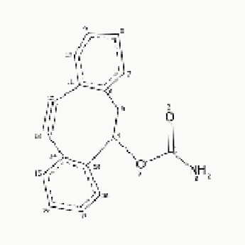 NC(=O)OC1Cc2ccccc2C#Cc2ccccc21